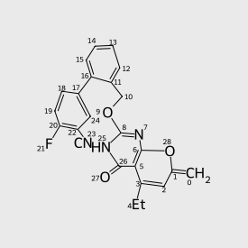 C=C1C=C(CC)c2c(nc(OCc3ccccc3-c3ccc(F)c(C#N)c3)[nH]c2=O)O1